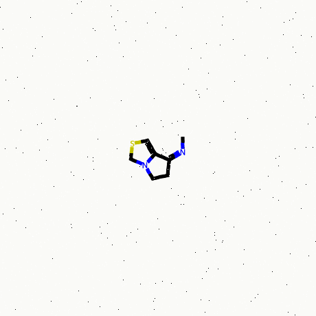 C/N=C1/CCN2CSC=C12